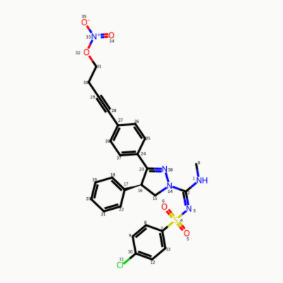 CN/C(=N/S(=O)(=O)c1ccc(Cl)cc1)N1C[C@@H](c2ccccc2)C(c2ccc(C#CCCO[N+](=O)[O-])cc2)=N1